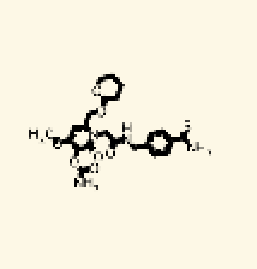 COc1cc(COC2CCCCO2)n(CC(=O)NCc2ccc(C(N)=S)cc2)c(=O)c1OC(N)=O